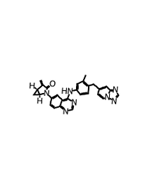 C=C1C(=O)N(c2ccc3ncnc(Nc4ccc(Cc5ccn6ncnc6c5)c(C)c4)c3c2)[C@@H]2C[C@H]12